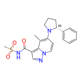 Cc1c(N2CCC[C@@H]2c2ccccc2)ccn2ncc(C(=O)NS(C)(=O)=O)c12